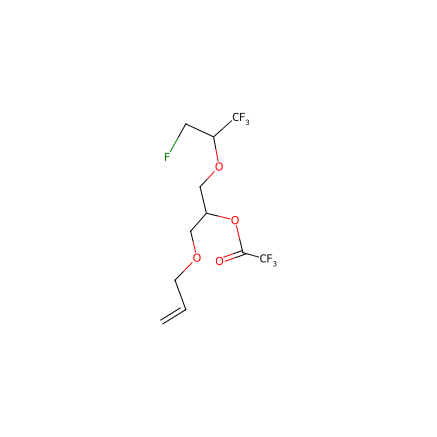 C=CCOCC(COC(CF)C(F)(F)F)OC(=O)C(F)(F)F